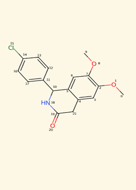 COc1cc2c(cc1OC)C(c1ccc(Cl)cc1)NC(=O)C2